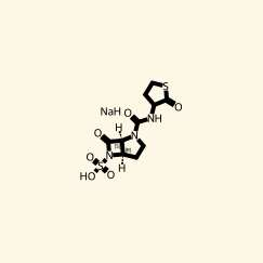 O=C1SCCC1NC(=O)N1CC[C@@H]2[C@H]1C(=O)N2S(=O)(=O)O.[NaH]